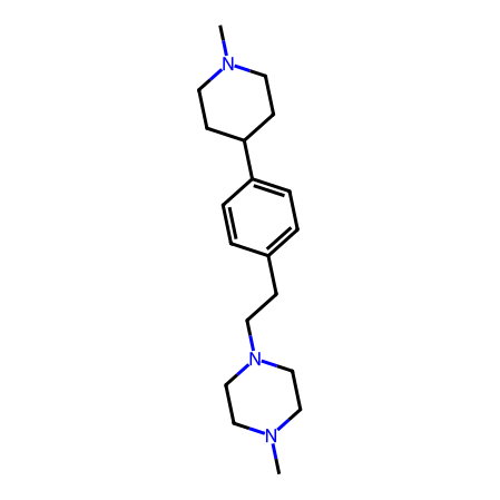 CN1CCC(c2ccc(CCN3CCN(C)CC3)cc2)CC1